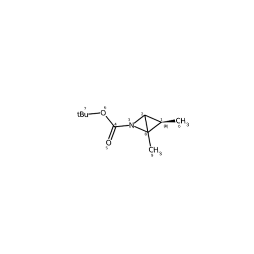 C[C@@H]1C2N(C(=O)OC(C)(C)C)C21C